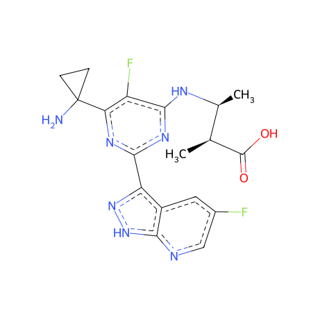 C[C@H](Nc1nc(-c2n[nH]c3ncc(F)cc23)nc(C2(N)CC2)c1F)[C@H](C)C(=O)O